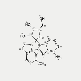 Cc1ccc2c(c1)C([C@@]1(n3cnc4c(N)ncnc43)O[C@H](CO)[C@@H](O)[C@H]1O)CC2